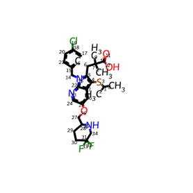 CC(C)Sc1c(CC(C)(C)C(=O)O)n(Cc2ccc(Cl)cc2)c2ncc(OCC3CCC(F)(F)CN3)cc12